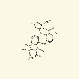 Cc1cc(O)c2c(c1)C(c1ccc3c(c1O)C(=O)c1c(O)cc(C)c(O)c1C3=O)c1cccc(O)c1C2=O